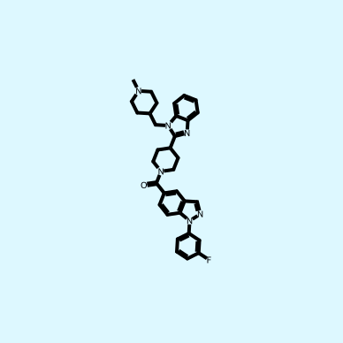 CN1CCC(Cn2c(C3CCN(C(=O)c4ccc5c(cnn5-c5cccc(F)c5)c4)CC3)nc3ccccc32)CC1